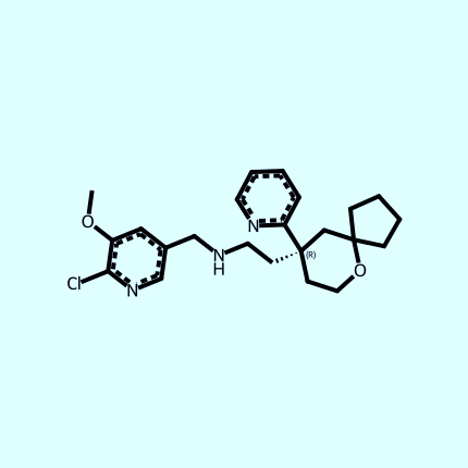 COc1cc(CNCC[C@@]2(c3ccccn3)CCOC3(CCCC3)C2)cnc1Cl